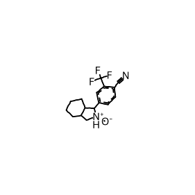 N#Cc1ccc(C2C3CCCCC3C[NH+]2[O-])cc1C(F)(F)F